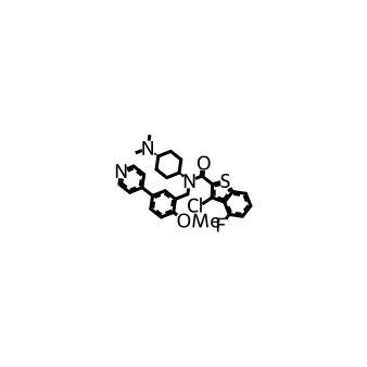 COc1ccc(-c2ccncc2)cc1CN(C(=O)c1sc2cccc(F)c2c1Cl)[C@H]1CC[C@H](N(C)C)CC1